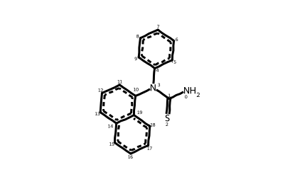 NC(=S)N(c1[c]cccc1)c1cccc2ccccc12